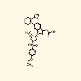 CCOc1ccc(S(=O)(=O)N2C[C@@H](C)[C@@H](n3nc(CC(=O)O)c4ccc(C5=C(C6CCC6)CCCC5)cc43)C2)cc1